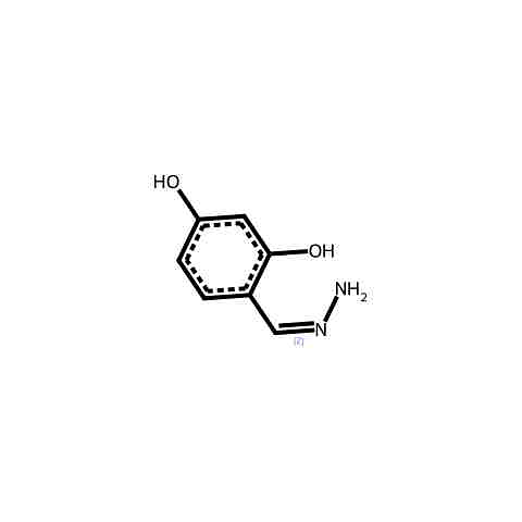 N/N=C\c1ccc(O)cc1O